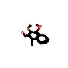 COc1c(SC)c(C=O)c(C)c2ccccc12